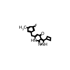 Cc1cc(F)cc(Cc2cc(=O)c3c(C4CCC4)[nH]nc3[nH]2)c1